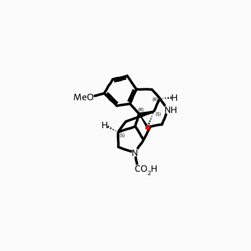 COc1ccc2c(c1)[C@]13CCN[C@H](C2)[C@]12CCC1C3[C@@H](CN1C(=O)O)C2